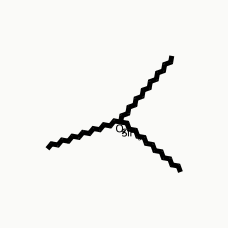 CCCCCCCCCCCCCCCC(CCCCCCCCCCCCCC)(CCCCCCCCCCCCCC)O[SiH3]